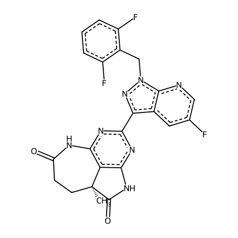 C[C@]12CCC(=O)Nc3nc(-c4nn(Cc5c(F)cccc5F)c5ncc(F)cc45)nc(c31)NC2=O